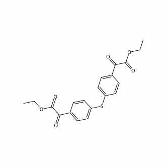 CCOC(=O)C(=O)c1ccc(Sc2ccc(C(=O)C(=O)OCC)cc2)cc1